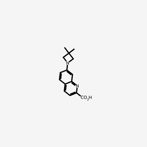 CC1(C)CN(c2ccc3ccc(C(=O)O)nc3c2)C1